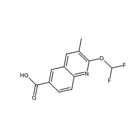 Cc1cc2cc(C(=O)O)ccc2nc1OC(F)F